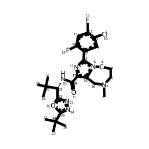 CN1CCCn2c(-c3cc(Cl)c(F)cc3F)nc(C(=O)N[C@H](c3nnc(C(C)(C)C)o3)C(C)(C)C)c2C1